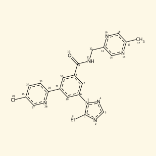 CCc1ncnn1-c1cc(C(=O)NCc2cnc(C)cn2)cc(-c2ccc(Cl)cn2)c1